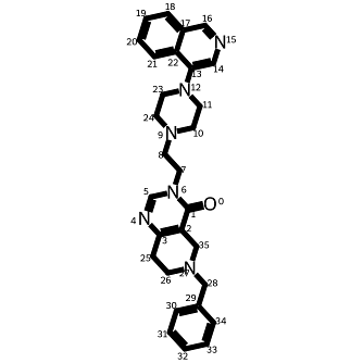 O=c1c2c(ncn1CCN1CCN(c3cncc4ccccc34)CC1)CCN(Cc1ccccc1)C2